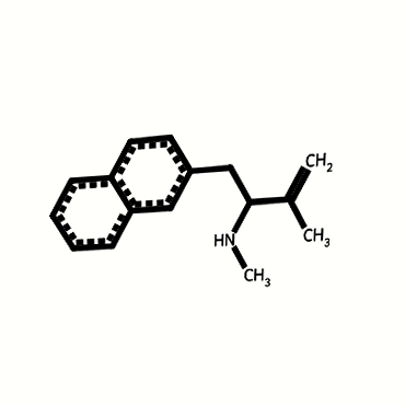 C=C(C)C(Cc1ccc2ccccc2c1)NC